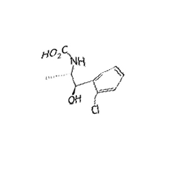 C[C@H](NC(=O)O)[C@H](O)c1ccccc1Cl